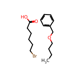 CCCCOCc1ccccc1.O=C(O)CCCCCBr